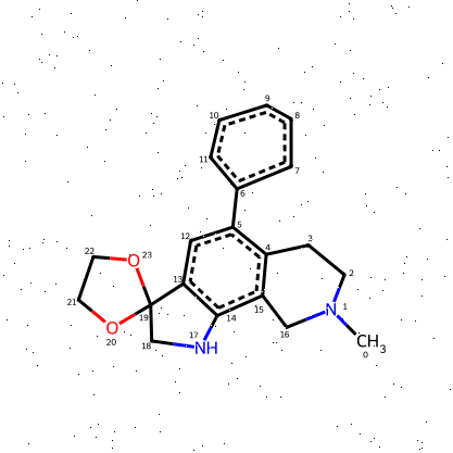 CN1CCc2c(-c3ccccc3)cc3c(c2C1)NCC31OCCO1